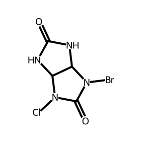 O=C1NC2C(N1)N(Br)C(=O)N2Cl